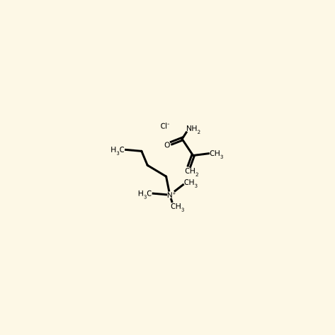 C=C(C)C(N)=O.CCCC[N+](C)(C)C.[Cl-]